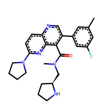 Cc1cc(F)cc(-c2cnc3ccc(N4CCCC4)nc3c2C(=O)N(C)C[C@@H]2CCCN2)c1